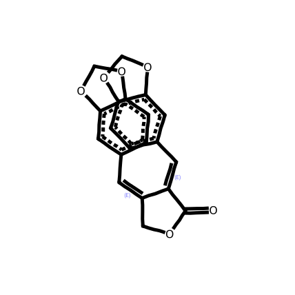 O=C1OCC(=C/c2ccc3c(c2)OCO3)/C1=C\c1ccc2c(c1)OCO2